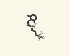 Cc1cccc(Br)c1/C=C\NCCCS(=O)(=O)Cl